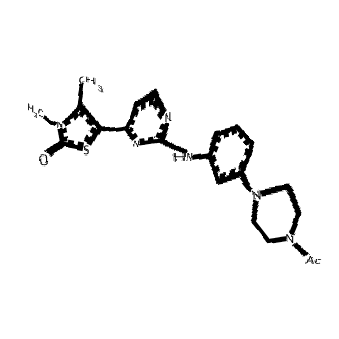 CC(=O)N1CCN(c2cccc(Nc3nccc(-c4sc(=O)n(C)c4C)n3)c2)CC1